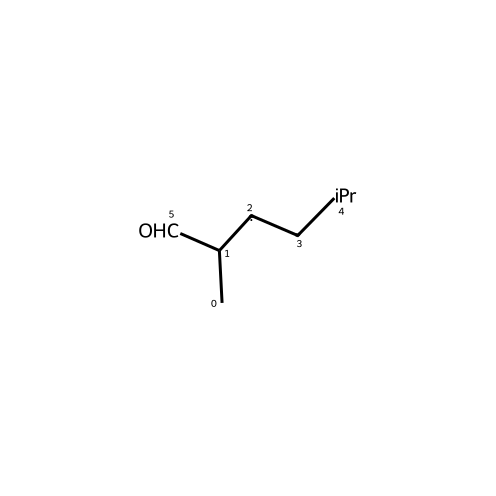 CC([CH]CC(C)C)C=O